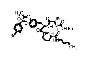 C=CCCNC(=O)[C@@H]1CCCN(C(=O)[C@H](Cc2cccc(OC(C)S(=O)(=O)c3ccc(Br)cc3)c2)NC(=O)[C@@H](NC(=O)OC(C)(C)C)C(C)C)N1